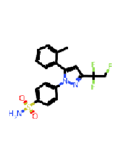 Cc1ccccc1-c1cc(C(F)(F)CF)nn1-c1ccc(S(N)(=O)=O)cc1